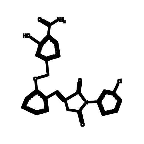 NC(=O)c1ccc(COc2ccccc2/C=C2\CC(=O)N(c3cccc(Cl)c3)C2=O)cc1O